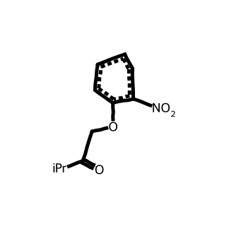 CC(C)C(=O)COc1ccccc1[N+](=O)[O-]